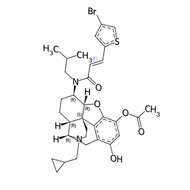 CC(=O)Oc1cc(O)c2c3c1O[C@H]1[C@H](N(CC(C)C)C(=O)/C=C/c4cc(Br)cs4)CC[C@H]4[C@@H](C2)N(CC2CC2)CC[C@@]341